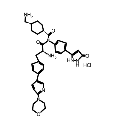 Cl.NC[C@H]1CC[C@H](C(=O)N(C(=O)[C@@H](N)Cc2ccc(-c3ccc(N4CCOCC4)nc3)cc2)c2ccc(-c3cc(=O)[nH][nH]3)cc2)CC1